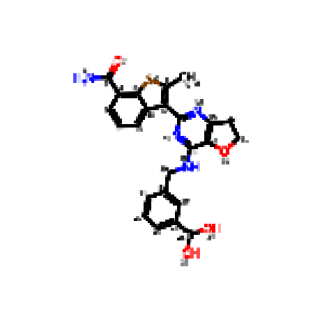 Cc1sc2c(C(N)=O)cccc2c1-c1nc2c(c(NCc3cccc(B(O)O)c3)n1)OCC2